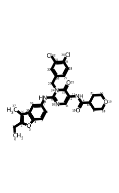 CCc1oc2ccc(Nc3ncc(NC(=O)C4CCOCC4)c(=O)n3Cc3ccc(Cl)c(Cl)c3)cc2c1C